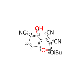 CC(C)COC(=O)C(C#N)=C(C#N)c1cccc(C#N)c1O